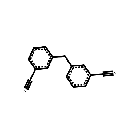 N#Cc1cccc(Cc2cccc(C#N)c2)c1